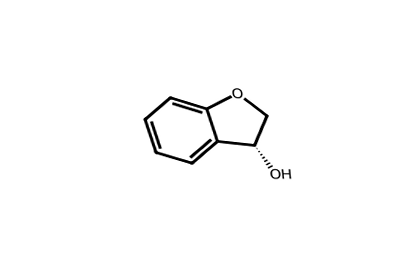 O[C@H]1COc2ccccc21